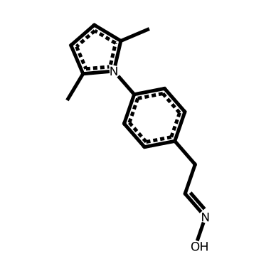 Cc1ccc(C)n1-c1ccc(CC=NO)cc1